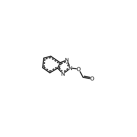 O=COn1nc2ccccc2n1